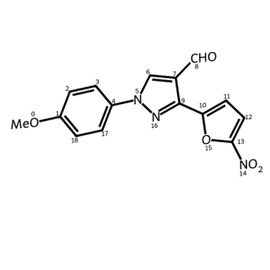 COc1ccc(-n2cc(C=O)c(-c3ccc([N+](=O)[O-])o3)n2)cc1